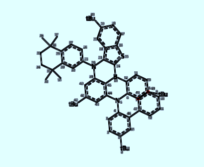 CC(C)(C)c1ccc(N2c3cc(C(C)(C)C)ccc3B3c4sc5ccc(C(C)(C)C)cc5c4N(c4ccc5c(c4)C(C)(C)CCC5(C)C)c4cc(C(C)(C)C)cc2c43)c(-c2ccccc2)c1